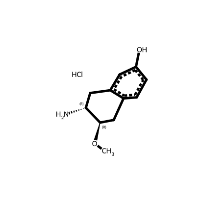 CO[C@@H]1Cc2ccc(O)cc2C[C@H]1N.Cl